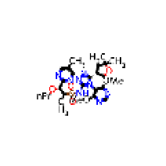 CCCO[C@@H](c1ncc(C)cn1)[C@H](C)S(=O)(=O)Nc1nnc([C@H]2COC(C)(C)C2)n1-c1c(OC)ncnc1OC